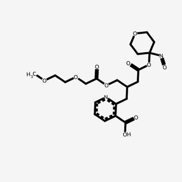 COCCOCC(=O)OCC(CC(=O)OC1(N=O)CCOCC1)Cc1ncccc1C(=O)O